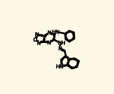 C(=NNc1nc2nonc2nc1Nc1ccccc1)c1c[nH]c2ccccc12